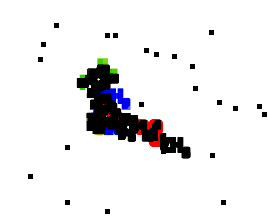 CCOC(=O)COc1ccc(NC(=O)C2SCCN2C(=O)CC(N)Cc2cc(F)c(F)cc2F)cc1